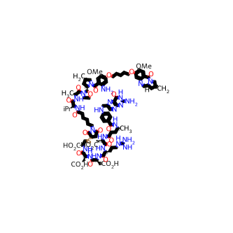 C=C1C[C@H]2C=Nc3cc(OCCCCCOc4cc(N)c(C(=O)N5CC(=C)C[C@H]5C5OCCN5C(=O)[C@H](C)NC(=O)[C@@H](NC(=O)CCCCCN5C(=O)CC(SC[C@H](NC(=O)[C@H](CC(=O)O)NC(=O)[C@H](CC(=O)O)NC(=O)[C@H](CCCNC(=N)N)NC(=O)[C@H](CC(=O)O)NC(=O)CC[C@@H](C)NC(=O)c6ccc(NCc7cnc8nc(N)[nH]c(=O)c8n7)cc6)C(=O)O)C5=O)C(C)C)cc4OC)c(OC)cc3C(=O)N2C1